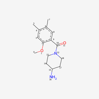 COc1cc(C)c(C)cc1C(=O)N1CCC(N)CC1